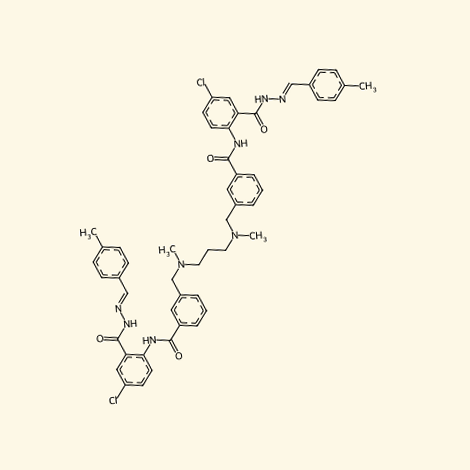 Cc1ccc(/C=N/NC(=O)c2cc(Cl)ccc2NC(=O)c2cccc(CN(C)CCCN(C)Cc3cccc(C(=O)Nc4ccc(Cl)cc4C(=O)N/N=C/c4ccc(C)cc4)c3)c2)cc1